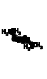 CN(C)CCCCC(=O)C1=CC=C2C(=Cc3cc(C(=O)CCCCN(C)C)ccc32)C1=O